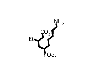 CCCCCCCCC(CCCCCN)CC(CC)CC(=O)O